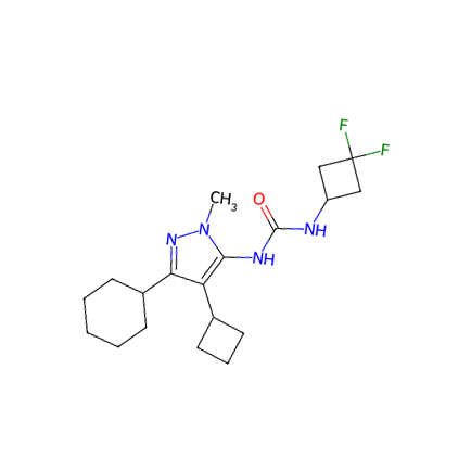 Cn1nc(C2CCCCC2)c(C2CCC2)c1NC(=O)NC1CC(F)(F)C1